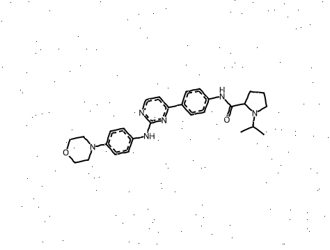 CC(C)N1CCCC1C(=O)Nc1ccc(-c2ccnc(Nc3ccc(N4CCOCC4)cc3)n2)cc1